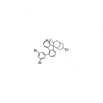 CCC1CC2CC(C)C3(c4ccccc4-c4c(-c5cc(Br)cc(Br)c5)cccc43)C(C1)C2